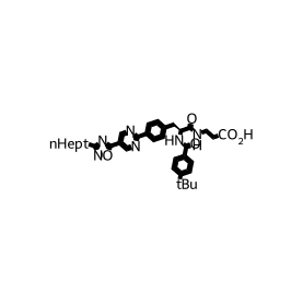 CCCCCCCc1noc(-c2cnc(-c3ccc(C[C@H](NC(=O)c4ccc(C(C)(C)C)cc4)C(=O)NCCC(=O)O)cc3)nc2)n1